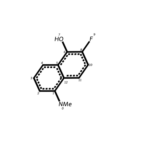 CNc1cccc2c(O)c(F)ccc12